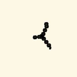 C=Cc1ccc(-c2ccc(-c3ccc(N(c4ccc(-c5ccccc5)cc4)c4ccc(-c5ccc(-c6ccc7ccccc7c6)cc5)cc4)cc3)cc2)cc1